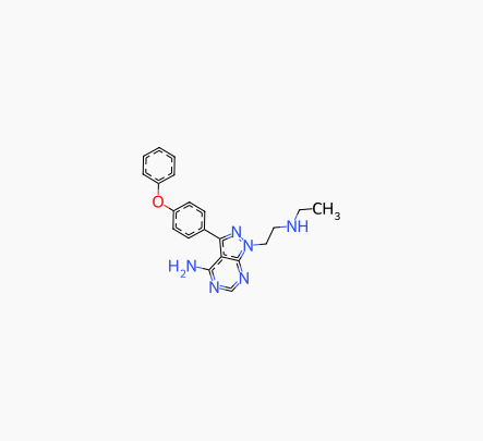 CCNCCn1nc(-c2ccc(Oc3ccccc3)cc2)c2c(N)ncnc21